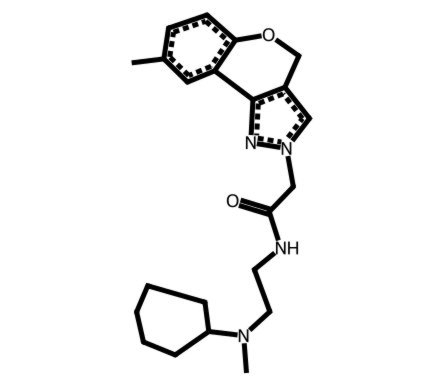 Cc1ccc2c(c1)-c1nn(CC(=O)NCCN(C)C3CCCCC3)cc1CO2